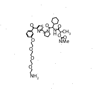 CNC(=O)OC(C)C(=O)NC(C(=O)N1CCC[C@H]1c1nc(C(=O)c2cccc(OCCOCCOCCOCCN)c2)cs1)C1CCCCC1